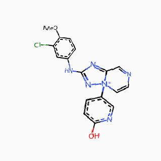 COc1ccc(NC2=N[N+]3(c4ccc(O)nc4)C=CN=CC3=N2)cc1Cl